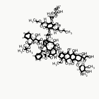 CC(=O)O[C@@]12CO[C@@H]1C[C@H](O)[C@@]1(C)C(=O)[C@H](O)C3=C(C)[C@@H](OC(=O)[C@H](O)[C@@H](NC(=O)OC(C)(C)C)c4ccccc4)C[C@@](O)([C@@H](OC(=O)c4ccccc4)[C@H]21)C3(C)C.CCOC(=O)NC1=C(N2CC2)C(=O)C(NC(=O)OCC)=C(N2CC2)C1=O.COc1cccc2c1C(=O)c1c(O)c3c(c(O)c1C2=O)C[C@@](O)(C(=O)CO)C[C@@H]3O[C@H]1C[C@H](N)[C@H](O)[C@H](C)O1.CS(=O)(=O)O.[Cl-].[H+]